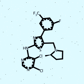 C[C@@H]1CCCN1Cc1sc(Nc2ncnc(Cl)c2Cl)nc1-c1cc(F)cc(C(F)(F)F)c1